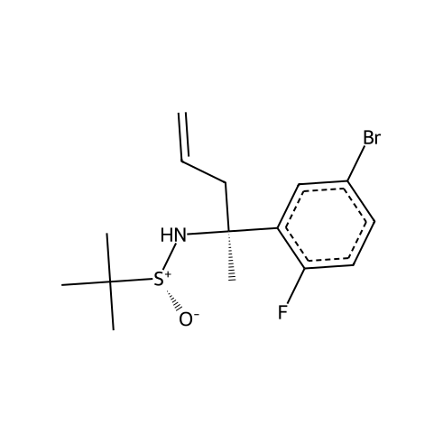 C=CC[C@](C)(N[S@+]([O-])C(C)(C)C)c1cc(Br)ccc1F